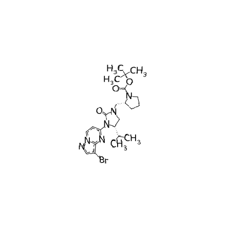 CC(C)[C@H]1CN(C[C@H]2CCCN2C(=O)OC(C)(C)C)C(=O)N1c1ccn2ncc(Br)c2n1